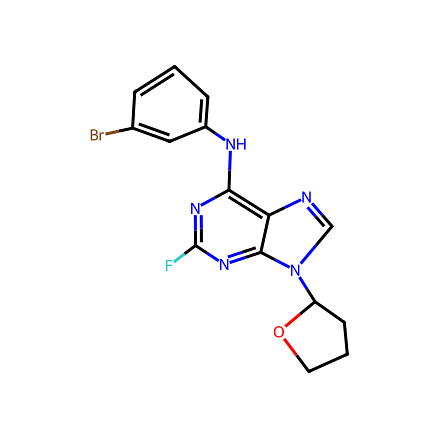 Fc1nc(Nc2cccc(Br)c2)c2ncn(C3CCCO3)c2n1